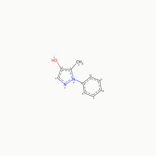 Cc1c(O)cnn1-c1ccccc1